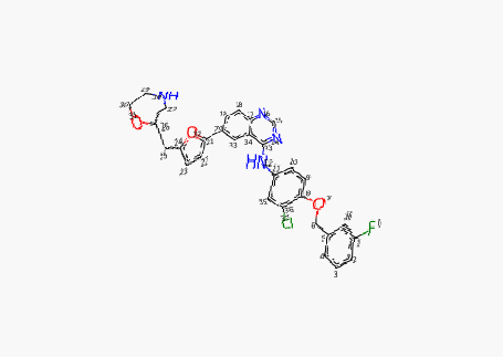 Fc1cccc(COc2ccc(Nc3ncnc4ccc(-c5ccc(CC6CNCCO6)o5)cc34)cc2Cl)c1